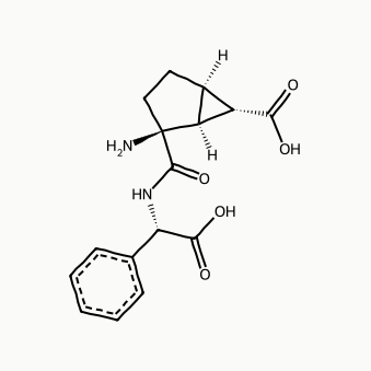 N[C@@]1(C(=O)N[C@H](C(=O)O)c2ccccc2)CC[C@H]2[C@H](C(=O)O)[C@H]21